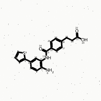 Nc1ccc(-c2cccs2)cc1NC(=O)c1ccc(CCC(=O)O)cc1